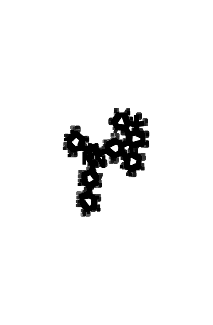 CC1(C)c2ccccc2-c2c(-c3ccc(-c4nc(-c5ccccc5)nc(-c5ccc(-c6ccccc6)cc5)n4)cc3-c3ccccc3)cccc21